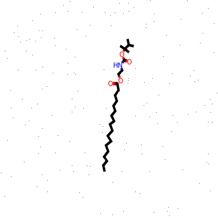 CCCCCCCCCCCCCCCCCC(=O)OCCNC(=O)OC(C)(C)C(C)C